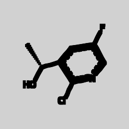 C[C@@H](O)c1cc(F)cnc1Cl